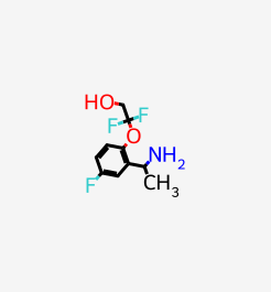 CC(N)c1cc(F)ccc1OC(F)(F)CO